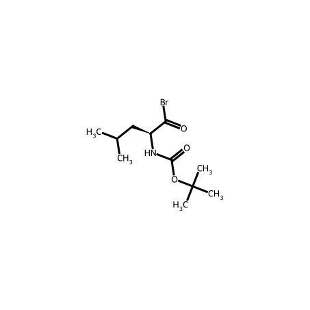 CC(C)C[C@H](NC(=O)OC(C)(C)C)C(=O)Br